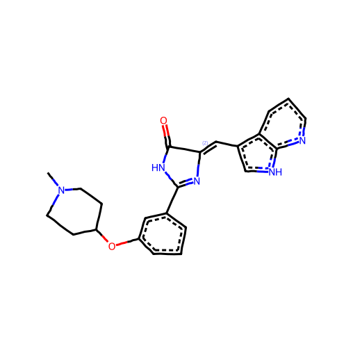 CN1CCC(Oc2cccc(C3=N/C(=C\c4c[nH]c5ncccc45)C(=O)N3)c2)CC1